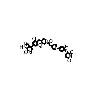 COc1cc(-c2cn(C)c(=O)c3[nH]ncc23)cc(OC)c1CC1CCN(C(=O)CC2CCN(c3ccc(NC4CCC(=O)NC4=O)cc3)CC2)CC1